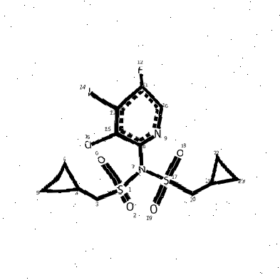 O=S(=O)(CC1CC1)N(c1ncc(F)c(I)c1Cl)S(=O)(=O)CC1CC1